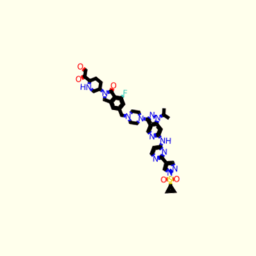 CC(C)n1nc(N2CCN(Cc3cc(F)c4c(c3)CN(C3CCC(C(=O)C=O)NC3)C4=O)CC2)c2cnc(Nc3ccnc(-c4cnn(S(=O)(=O)C5CC5)c4)n3)cc21